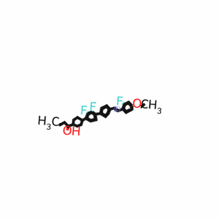 CCCC(O)C1CCC(c2ccc(-c3ccc(/C=C/c4ccc(OCC)cc4F)cc3)c(F)c2F)CC1